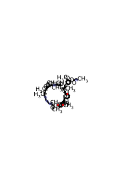 C/C=C/C(=O)O[C@@H]1CC[C@@H](C[C@@H](C)[C@@H]2CC(=O)[C@H](C)/C=C(\C)[C@@H](O)[C@@H](OC)C(=O)[C@H](C)C[C@H](C)/C=C/C=C/C=C(\C)[C@@H](OC)C[C@@H]3CC[C@@H](C)[C@@](O)(O3)C(=O)C(=O)N3CCCC[C@H]3C(=O)O2)C[C@H]1OC